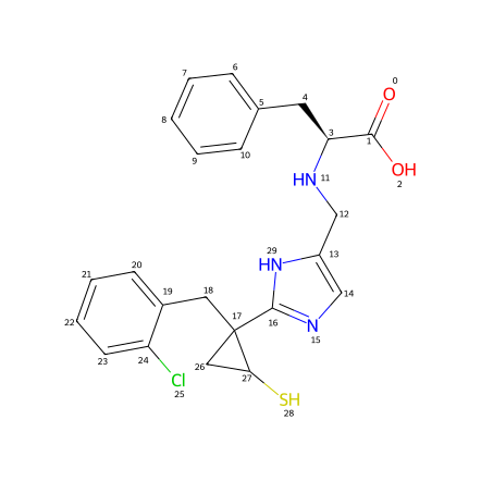 O=C(O)[C@H](Cc1ccccc1)NCc1cnc(C2(Cc3ccccc3Cl)CC2S)[nH]1